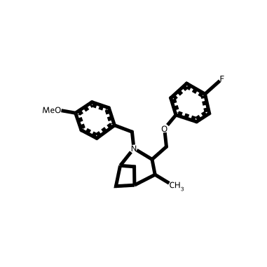 COc1ccc(CN2C3CC(C3)C(C)C2COc2ccc(F)cc2)cc1